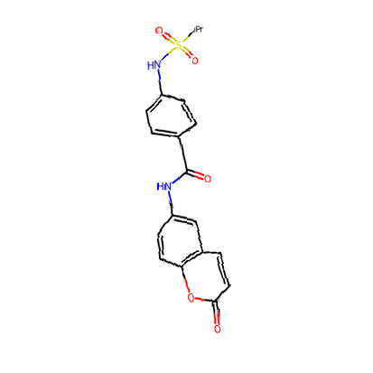 CC(C)S(=O)(=O)Nc1ccc(C(=O)Nc2ccc3oc(=O)ccc3c2)cc1